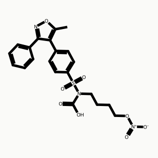 Cc1onc(-c2ccccc2)c1-c1ccc(S(=O)(=O)N(CCCCO[N+](=O)[O-])C(=O)O)cc1